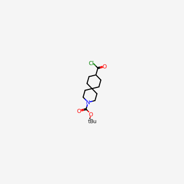 CC(C)(C)OC(=O)N1CCC2(CCC(C(=O)Cl)CC2)CC1